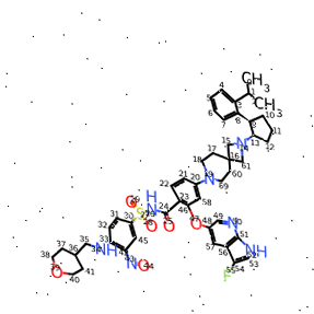 CC(C)c1ccccc1[C@H]1CCC[C@H]1N1CC2(CCN(c3ccc(C(=O)NS(=O)(=O)c4ccc(NCC5CCOCC5)c(N=O)c4)c(Oc4cnc5[nH]cc(F)c5c4)c3)CC2)C1